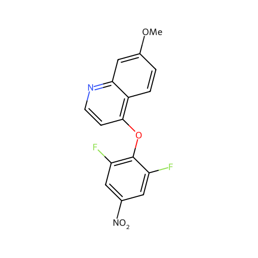 COc1ccc2c(Oc3c(F)cc([N+](=O)[O-])cc3F)ccnc2c1